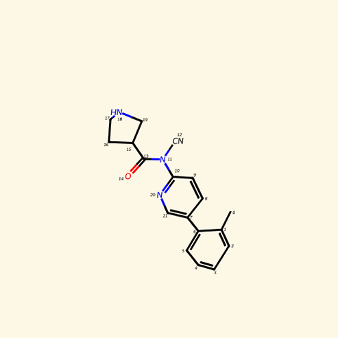 Cc1ccccc1-c1ccc(N(C#N)C(=O)C2CCNC2)nc1